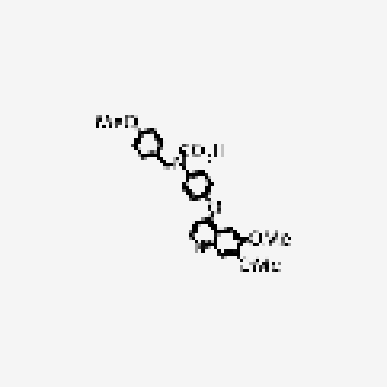 COc1ccc(CN(C(=O)O)c2ccc(Oc3ccnc4cc(OC)c(OC)cc34)cc2)cc1